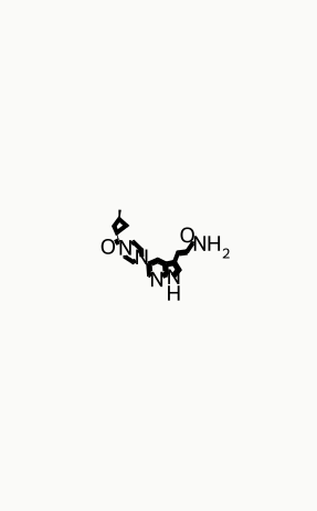 C[C@H]1C[C@H](C(=O)N2CCN(c3cnc4[nH]cc(/C=C/C(N)=O)c4c3)CC2)C1